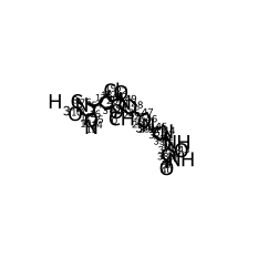 COc1cc(-c2cn(C)c(=O)c3cnccc23)cc(Cl)c1C(=O)N1CCC(C2CCN(c3ccc(NC4CCC(=O)NC4=O)nc3)CC2)CC1